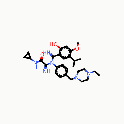 CCN1CCN(Cc2ccc(N(C(=N)C(=O)NC3CC3)C(=N)c3cc(C(C)C)c(OC)cc3O)cc2)CC1